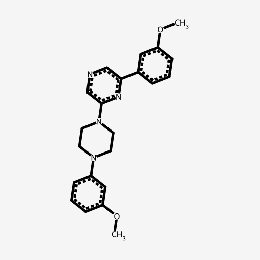 COc1cccc(-c2cncc(N3CCN(c4cccc(OC)c4)CC3)n2)c1